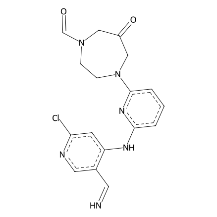 N=Cc1cnc(Cl)cc1Nc1cccc(N2CCN(C=O)CC(=O)C2)n1